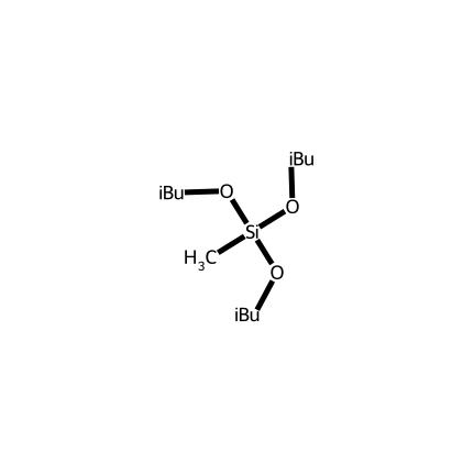 CCC(C)O[Si](C)(OC(C)CC)OC(C)CC